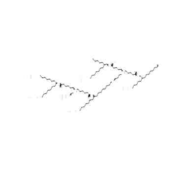 CCCCCCCCC(CCCCCC)COC(=O)CCCCN(CCCCOCCCCCCCCC(CCCCCCCC)OC(=O)CCCCCN(CCO)CCCCCC(=O)OC(CCCCCCCC)CCCCCCCC)CCCCC(=O)OCC(CCCCCC)CCCCCCCC